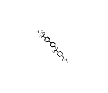 CCC1CCC(C(=O)Oc2ccc(-c3ccc(C(=O)OC)cc3)cc2)CC1